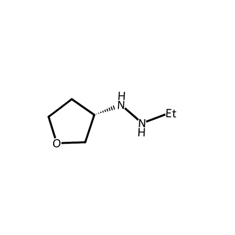 CCNN[C@H]1CCOC1